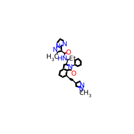 CCC(NC(=O)c1c(C)nn2cccnc12)c1cc2cccc(C#Cc3cnn(C)c3)c2c(=O)n1-c1ccccc1